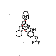 O=C(Nc1ccc(OC(F)F)cc1)N(CCN1C2CCC1CC(c1cccc(O)c1)C2)CC1CCCCC1